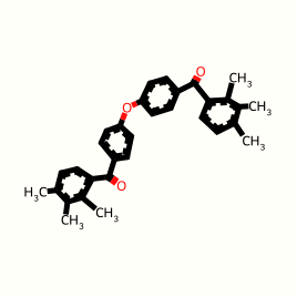 Cc1ccc(C(=O)c2ccc(Oc3ccc(C(=O)c4ccc(C)c(C)c4C)cc3)cc2)c(C)c1C